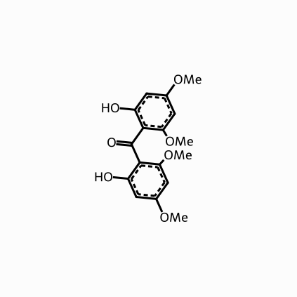 COc1cc(O)c(C(=O)c2c(O)cc(OC)cc2OC)c(OC)c1